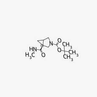 CNC(=O)[C@@]12CC1CN(C(=O)OC(C)(C)C)C2